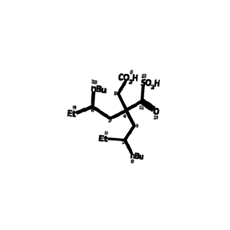 CCCCC(CC)CC(CC(=O)O)(CC(CC)CCCC)C(=O)S(=O)(=O)O